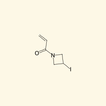 C=CC(=O)N1CC(I)C1